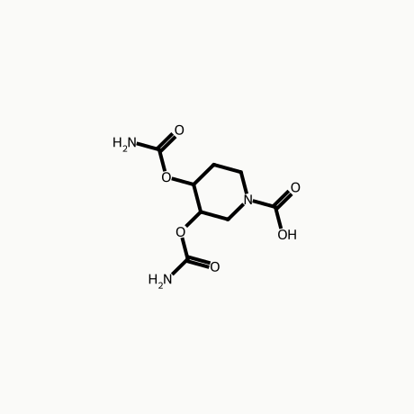 NC(=O)OC1CCN(C(=O)O)CC1OC(N)=O